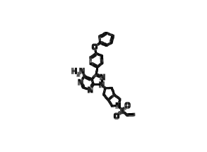 C=CS(=O)(=O)N1CC2CC(n3nc(-c4ccc(Oc5ccccc5)cc4)c4c(N)ncnc43)CC2C1